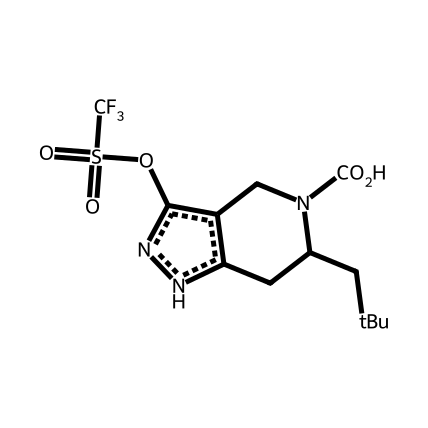 CC(C)(C)CC1Cc2[nH]nc(OS(=O)(=O)C(F)(F)F)c2CN1C(=O)O